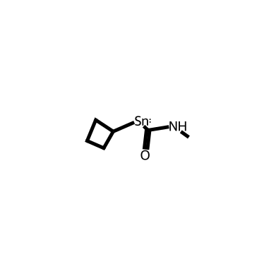 CN[C](=O)[Sn][CH]1CCC1